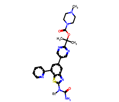 CCN(C(N)=O)c1nc2cc(-c3cnc(C(C)(C)OC(=O)N4CCN(C)CC4)nc3)cc(-c3ccccn3)c2s1